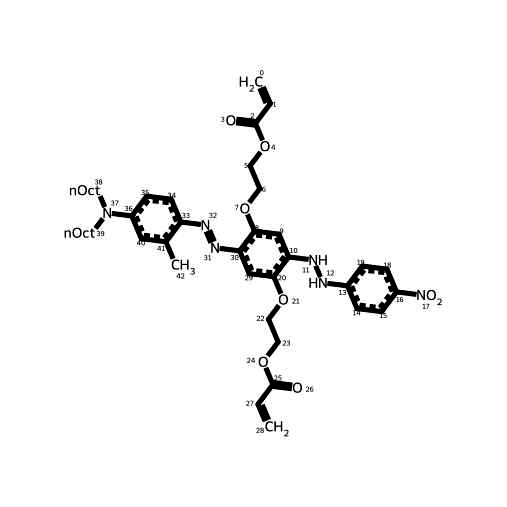 C=CC(=O)OCCOc1cc(NNc2ccc([N+](=O)[O-])cc2)c(OCCOC(=O)C=C)cc1/N=N/c1ccc(N(CCCCCCCC)CCCCCCCC)cc1C